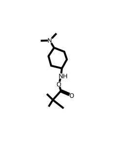 CN(C)C1CCC(NOC(=O)C(C)(C)C)CC1